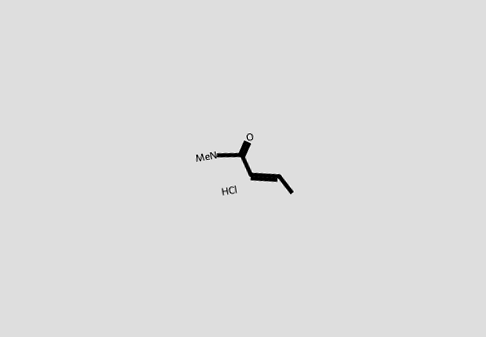 CC=CC(=O)NC.Cl